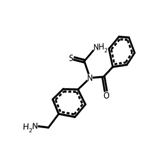 NCc1ccc(N(C(=O)c2ccccc2)C(N)=S)cc1